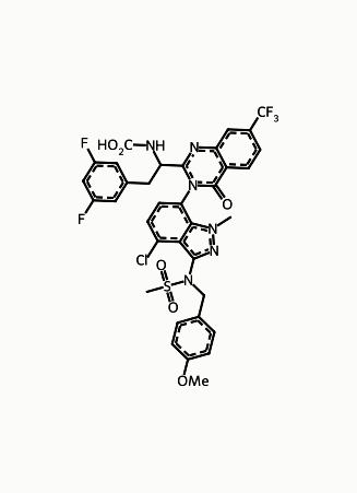 COc1ccc(CN(c2nn(C)c3c(-n4c(C(Cc5cc(F)cc(F)c5)NC(=O)O)nc5cc(C(F)(F)F)ccc5c4=O)ccc(Cl)c23)S(C)(=O)=O)cc1